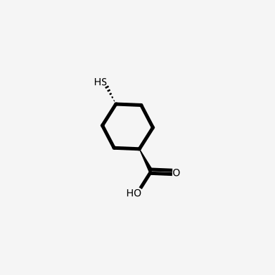 O=C(O)[C@H]1CC[C@H](S)CC1